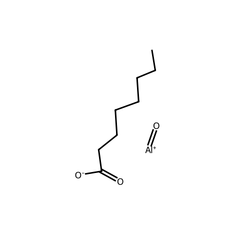 CCCCCCCC(=O)[O-].[O]=[Al+]